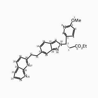 CCOC(=O)C[C@@H](c1ccc(OC)nc1)n1cc2ccc(CCc3ccc4cccnc4n3)cc2n1